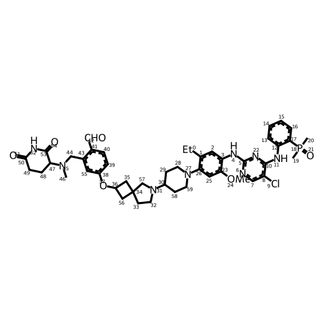 CCc1cc(Nc2ncc(Cl)c(Nc3ccccc3P(C)(C)=O)n2)c(OC)cc1N1CCC(N2CCC3(CC(Oc4ccc(C=O)c(CN(C)C5CCC(=O)NC5=O)c4)C3)C2)CC1